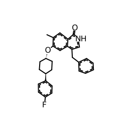 Cc1cc2c(=O)[nH]cc(Cc3ccccc3)c2cc1O[C@H]1CC[C@H](c2ccc(F)cc2)CC1